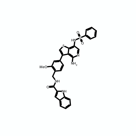 COc1cc(-c2csc3c(NS(=O)(=O)c4ccccc4)cnc(N)c23)ccc1CNC(=O)c1cc2ccccc2[nH]1